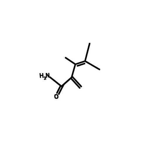 C=C(C(N)=O)C(C)=C(C)C